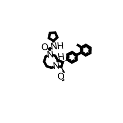 COC[C@@H]1[C@@H](c2ccc(-c3ccccc3C)cc2)[C@H]2CN(C(=O)NC3CCCC3)CCCCN12